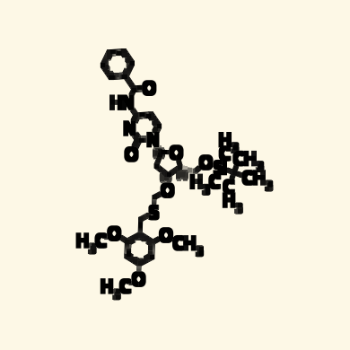 COc1cc(OC)c(CSCO[C@@H]2C[C@H](n3ccc(NC(=O)c4ccccc4)nc3=O)O[C@@H]2CO[Si](C)(C)C(C)(C)C)c(OC)c1